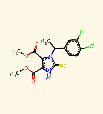 COC(=O)c1[nH]c(=S)n(C(C)c2ccc(Cl)c(Cl)c2)c1C(=O)OC